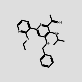 CCOc1ncccc1-c1cc(NCc2ccccn2)c(NC(C)C)c(C(C)=N)n1